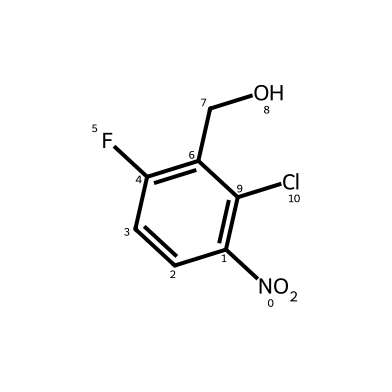 O=[N+]([O-])c1ccc(F)c(CO)c1Cl